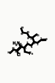 C=CCC(CCC(CF)/C(N)=C(\Cl)CC)C(C)CCCC